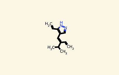 C=C/C(=C\c1cn[nH]c1C=C)C(C)C